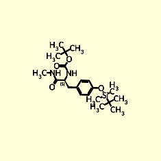 CNC(=O)[C@H](Cc1ccc(O[Si](C)(C)C(C)(C)C)cc1)NC(=O)OC(C)(C)C